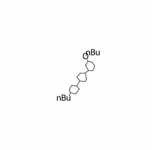 CCCCOC1CCCC(C2CCC(C3CCC(CCCC)CC3)CC2)C1